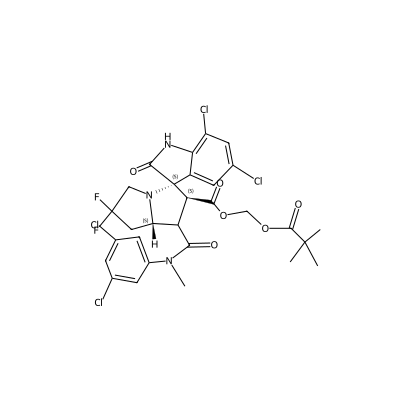 CN(C(=O)C1[C@@H]2CC(F)(F)CN2[C@@]2(C(=O)Nc3c(Cl)cc(Cl)cc32)[C@H]1C(=O)OCOC(=O)C(C)(C)C)c1cc(Cl)cc(Cl)c1